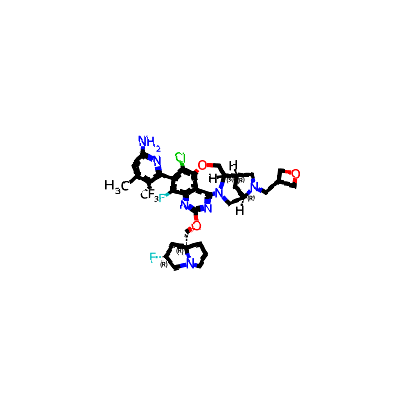 Cc1cc(N)nc(-c2c(Cl)c3c4c(nc(OC[C@]56CCCN5C[C@H](F)C6)nc4c2F)N2C[C@H]4C[C@H](CN4CC4COC4)[C@H]2CO3)c1C(F)(F)F